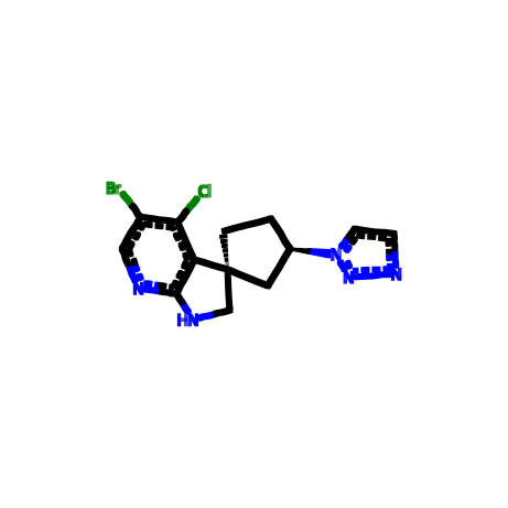 Clc1c(Br)cnc2c1[C@]1(CC[C@@H](n3ccnn3)C1)CN2